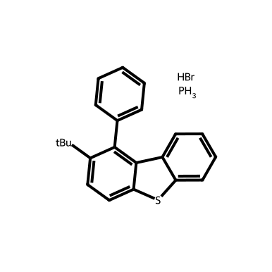 Br.CC(C)(C)c1ccc2sc3ccccc3c2c1-c1ccccc1.P